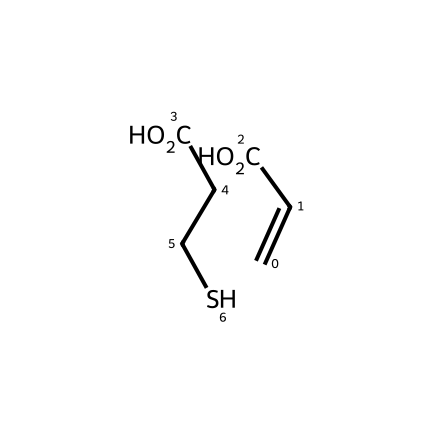 C=CC(=O)O.O=C(O)CCS